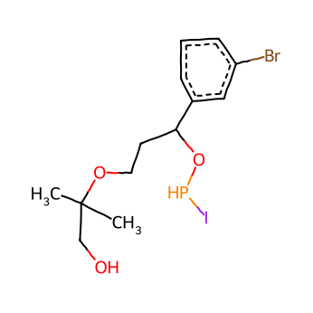 CC(C)(CO)OCCC(OPI)c1cccc(Br)c1